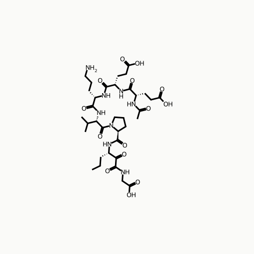 CCC[C@H](NC(=O)[C@@H]1CCCN1C(=O)[C@@H](NC(=O)[C@H](CCCN)NC(=O)[C@H](CCC(=O)O)NC(=O)[C@H](CCC(=O)O)NC(C)=O)C(C)C)C(=O)C(=O)NCC(=O)O